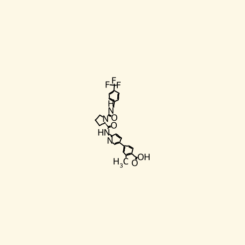 Cc1cc(-c2ccc(NC(=O)[C@H]3CCCN3C(=O)NCc3ccc(C(F)(F)F)cc3)nc2)ccc1C(=O)O